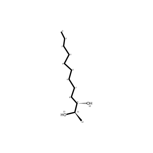 CCCCCCCCC[C@H](O)[C@@H](C)O